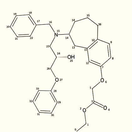 CCOC(=O)COc1ccc2c(c1)CC(N(Cc1ccccc1)C[C@H](O)COc1ccccc1)CCC2